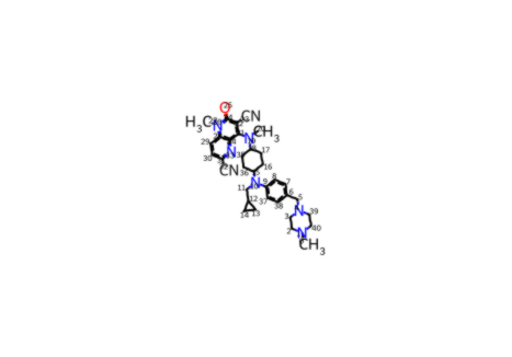 CN1CCN(Cc2ccc(N(CC3CC3)C3CCC(N(C)c4c(C#N)c(=O)n(C)c5ccc(C#N)nc45)CC3)cc2)CC1